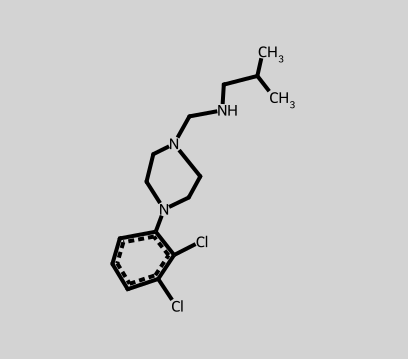 CC(C)CNCN1CCN(c2cccc(Cl)c2Cl)CC1